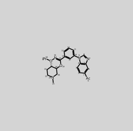 CC(=O)c1ccc2c(c1)ncn2-c1cccc(C(=NOC(C)C)OC2CCCN(C)C2)c1